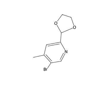 Cc1cc(C2OCCO2)ncc1Br